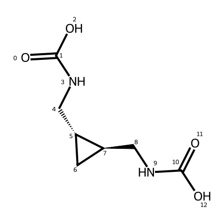 O=C(O)NC[C@H]1C[C@@H]1CNC(=O)O